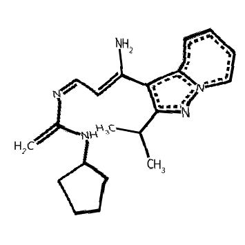 C=C(/N=C\C=C(/N)c1c(C(C)C)nn2ccccc12)NC1CCCC1